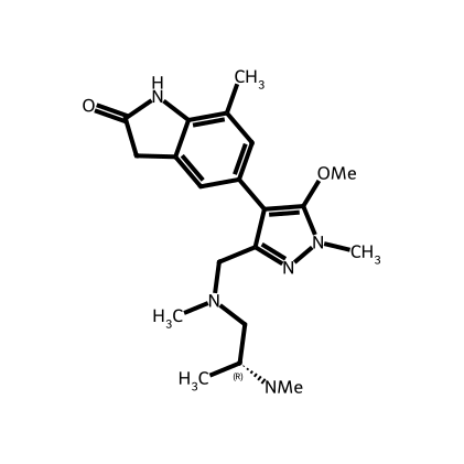 CN[C@H](C)CN(C)Cc1nn(C)c(OC)c1-c1cc(C)c2c(c1)CC(=O)N2